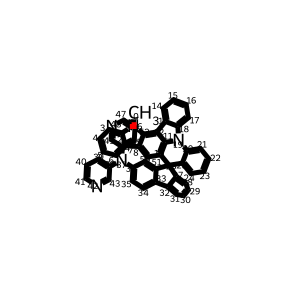 Cn1c2ccccc2c2cc3c4c(c5ccccc5n4-c4ccccc4C34c3ccccc3-c3ccc(N(c5cccnc5)c5cccnc5)cc34)c21